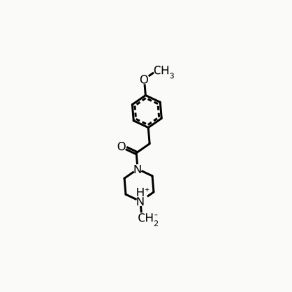 [CH2-][NH+]1CCN(C(=O)Cc2ccc(OC)cc2)CC1